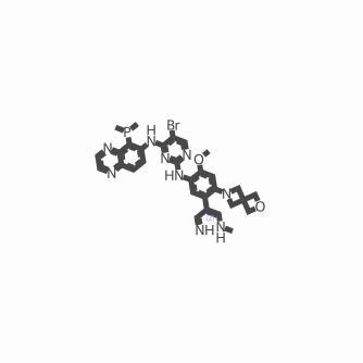 CN/C=C(\C=N)c1cc(Nc2ncc(Br)c(Nc3ccc4nccnc4c3P(C)C)n2)c(OC)cc1N1CC2(COC2)C1